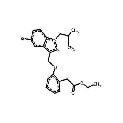 CCOC(=O)Cc1ccccc1OCc1nn(CC(C)C)c2ccc(Br)cc12